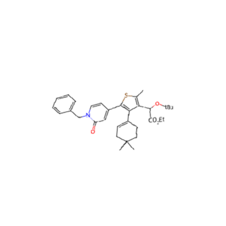 CCOC(=O)C(OC(C)(C)C)c1c(C)sc(-c2ccn(Cc3ccccc3)c(=O)c2)c1C1=CCC(C)(C)CC1